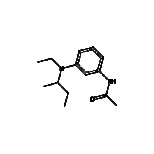 CCC(C)N(CC)c1cccc(NC(C)=O)c1